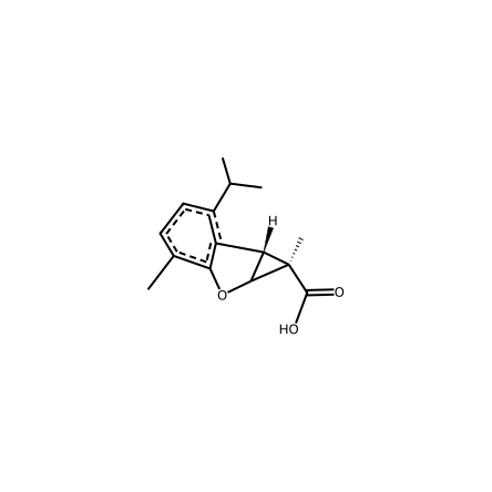 Cc1ccc(C(C)C)c2c1OC1[C@H]2[C@@]1(C)C(=O)O